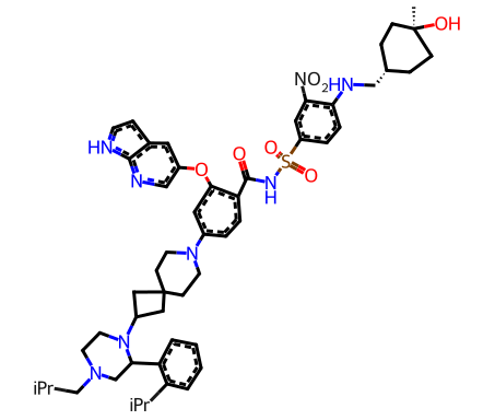 CC(C)CN1CCN(C2CC3(CCN(c4ccc(C(=O)NS(=O)(=O)c5ccc(NC[C@H]6CC[C@](C)(O)CC6)c([N+](=O)[O-])c5)c(Oc5cnc6[nH]ccc6c5)c4)CC3)C2)C(c2ccccc2C(C)C)C1